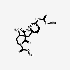 COC(=O)C1(Cc2ccc(NC(=O)OC(C)(C)C)nn2)C(=O)N(C(=O)OC(C)(C)C)CCC1C